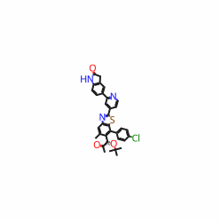 CC(=O)[C@@H](OC(C)(C)C)c1c(C)cc2nc(-c3ccnc(-c4ccc5c(c4)CC(=O)N5)c3)sc2c1-c1ccc(Cl)cc1